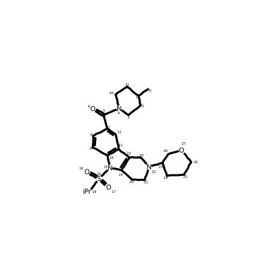 CC1CCN(C(=O)c2ccc3c(c2)c2c(n3S(=O)(=O)C(C)C)CCN(C3CCCOC3)C2)CC1